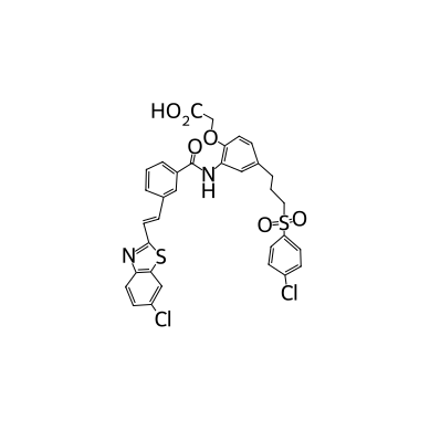 O=C(O)COc1ccc(CCCS(=O)(=O)c2ccc(Cl)cc2)cc1NC(=O)c1cccc(C=Cc2nc3ccc(Cl)cc3s2)c1